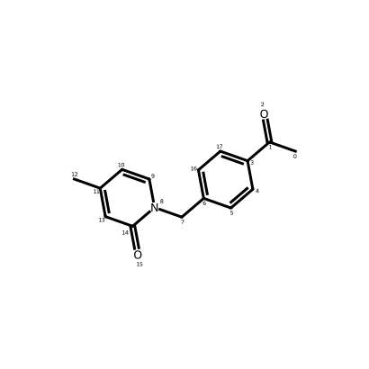 CC(=O)c1ccc(Cn2ccc(C)cc2=O)cc1